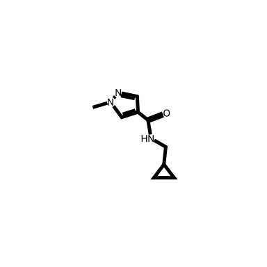 Cn1cc(C(=O)NCC2CC2)cn1